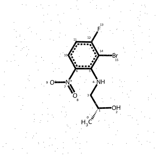 C[C@@H](O)CNc1c([N+](=O)[O-])ccc(F)c1Br